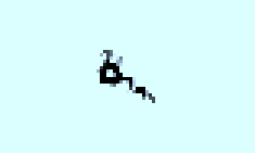 CC(C)CSCc1cccc(N)c1